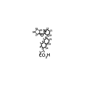 O=C(O)CCc1ccc2cc(-c3cccnc3OC3CCCC3)ccc2c1